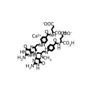 CN1c2c(nc(N)[nH]c2=O)NCC1CNc1ccc(C(=O)N[C@@H](CCC(=O)[O-])C(=O)O)cc1.Nc1nc2ncc(CNc3ccc(C(=O)N[C@@H](CCC(=O)[O-])C(=O)O)cc3)nc2c(=O)[nH]1.[Ca+2]